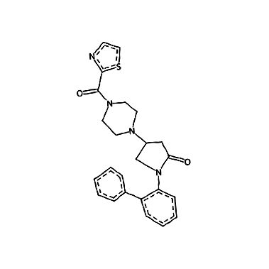 O=C(c1nccs1)N1CCN(C2CC(=O)N(c3ccccc3-c3ccccc3)C2)CC1